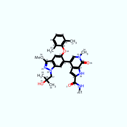 CCNC(=O)c1cc2c(-c3cc4c(cc3Oc3c(C)cccc3C)c(OC)nn4CC(C)(C)O)cn(C)c(=O)c2[nH]1